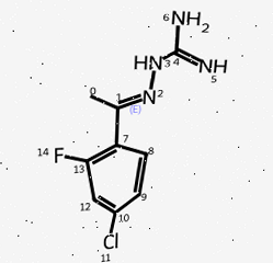 C/C(=N\NC(=N)N)c1ccc(Cl)cc1F